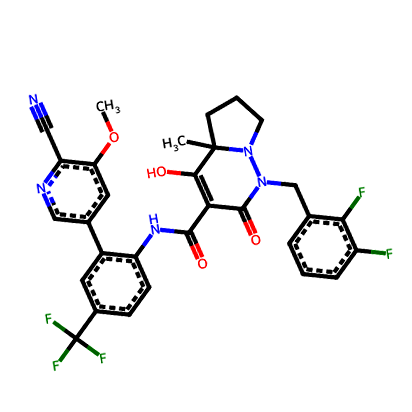 COc1cc(-c2cc(C(F)(F)F)ccc2NC(=O)C2=C(O)C3(C)CCCN3N(Cc3cccc(F)c3F)C2=O)cnc1C#N